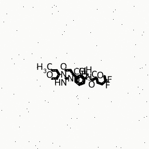 C[C@@H]1C[C@H](N2C(=N)N[C@](C)(c3cccc(NC(=O)C4(C)CCC(F)(F)CO4)c3Cl)CC2=O)CCO1